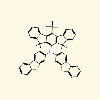 CC(C)(C)c1c2c(c(N(c3ccc4c(c3)sc3ccccc34)c3ccc4c(c3)sc3ccccc34)c3c1-c1ccccc1C3(C)C)C(C)(C)c1ccccc1-2